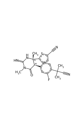 CN1C(=N)N[C@](C)(c2ccc(C#N)s2)[C@@H](c2ccc(C(C)(C)C#N)c(F)c2)C1=O